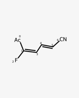 CC(=O)/C(F)=C\C=C\C#N